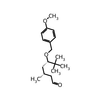 COc1ccc(CO[C@@H](C[C@@H](C)CC=O)C(C)(C)C)cc1